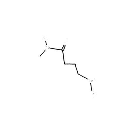 CCN(C)C(=O)CCCNC(C)C